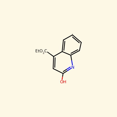 CCOC(=O)c1cc(O)nc2cc[c]cc12